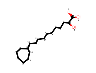 O=C(O)C(O)CCCCCCCCCC1CCCCCC1